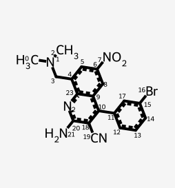 CN(C)Cc1cc([N+](=O)[O-])cc2c(-c3cccc(Br)c3)c(C#N)c(N)nc12